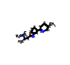 CC(Cc1nc2cc(C3=NC[C@@H](C)CC3)ccc2s1)N(C)C